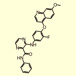 COc1ccc2c(Oc3ccc(Nc4nccnc4C(=O)Nc4ccccc4)cc3F)ccnc2c1